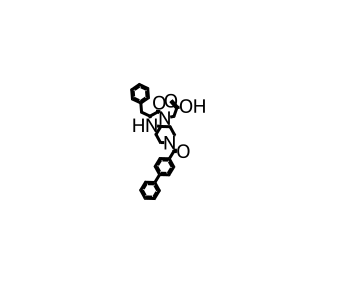 O=C(O)CN1C(=O)C(Cc2ccccc2)NC12CCN(C(=O)c1ccc(-c3ccccc3)cc1)CC2